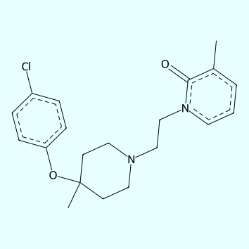 Cc1cccn(CCN2CCC(C)(Oc3ccc(Cl)cc3)CC2)c1=O